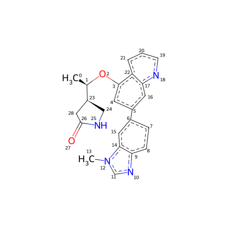 C[C@@H](Oc1cc(-c2ccc3ncn(C)c3c2)cc2ncccc12)[C@H]1CNC(=O)C1